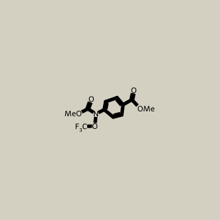 COC(=O)c1ccc(N(OC(F)(F)F)C(=O)OC)cc1